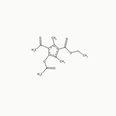 CCOC(=O)c1c(C)c(C(C)=O)c(OC(C)=O)n1C